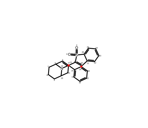 O=S1(=O)C(C2=CC3CCCC(C2)N3Cc2ccccc2)=Cc2ccccc21